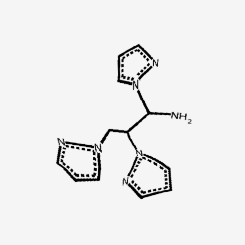 NC(C(Cn1cccn1)n1cccn1)n1cccn1